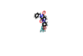 O=C1CC2(CCN1Cc1ccccc1)CCN(c1ccc(OC(F)(F)F)cc1)C2=O